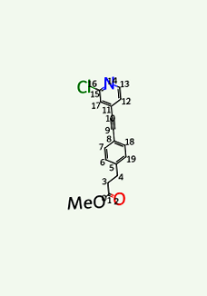 COC(=O)CCc1ccc(C#Cc2ccnc(Cl)c2)cc1